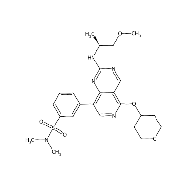 COC[C@H](C)Nc1ncc2c(OC3CCOCC3)ncc(-c3cccc(S(=O)(=O)N(C)C)c3)c2n1